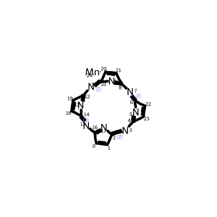 C1=C/C2=N/C3=NC(=N\C4=NC(=N\C5=NC(=N\C1=N2)/C=C5)/C=C4)/C=C3.[Mn]